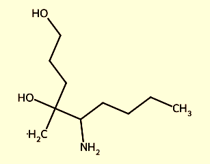 [CH2]C(O)(CCCO)C(N)CCCC